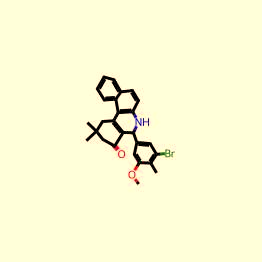 COc1cc(C2Nc3ccc4ccccc4c3C3=C2C(=O)CC(C)(C)C3)cc(Br)c1C